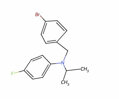 CC(C)N(Cc1ccc(Br)cc1)c1ccc(F)cc1